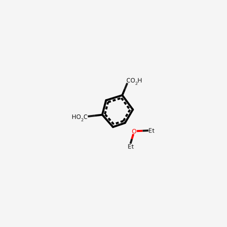 CCOCC.O=C(O)c1cccc(C(=O)O)c1